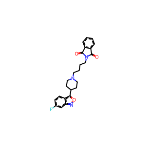 O=C1c2ccccc2C(=O)N1CCCCN1CCC(c2onc3cc(F)ccc23)CC1